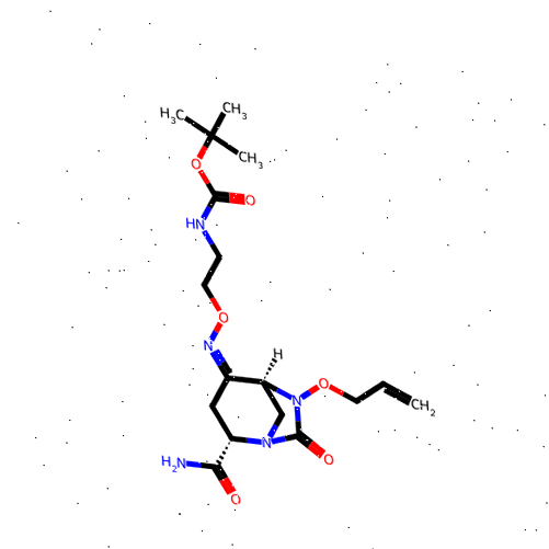 C=CCON1C(=O)N2C[C@H]1/C(=N\OCCNC(=O)OC(C)(C)C)C[C@H]2C(N)=O